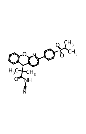 CC(C)S(=O)(=O)c1ccc(-c2ccc3c(n2)Oc2ccccc2[C@@H]3C(C)(C)C(=O)NC#N)cc1